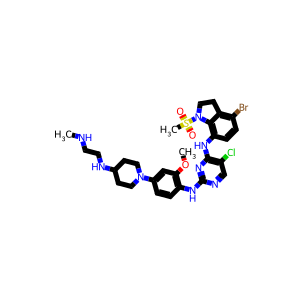 CNCCNC1CCN(c2ccc(Nc3ncc(Cl)c(Nc4ccc(Br)c5c4N(S(C)(=O)=O)CC5)n3)c(OC)c2)CC1